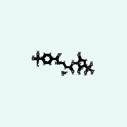 O=C(CCNC(=O)c1ccc(S(=O)(=O)F)cc1)ON1C(=O)CC(S(=O)(=O)[O-])C1=O.[Na+]